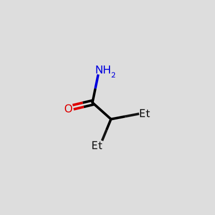 CCC(CC)C(N)=O